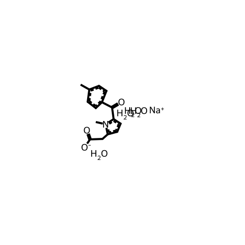 Cc1ccc(C(=O)c2ccc(CC(=O)[O-])n2C)cc1.O.O.O.O.[Na+]